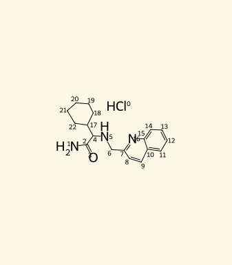 Cl.NC(=O)C(NCc1ccc2ccccc2n1)C1CCCCC1